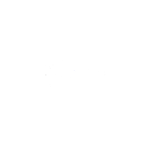 ClC1C=C(c2ccccc2)C=CC1Nc1cccc2c1-c1ccccc1C21c2ccccc2-c2ccccc21